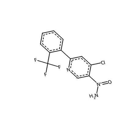 N[N+](=O)c1[c]nc(-c2ccccc2C(F)(F)F)cc1Cl